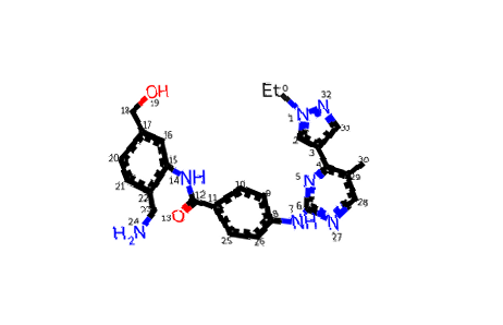 CCn1cc(-c2nc(Nc3ccc(C(=O)Nc4cc(CO)ccc4CN)cc3)ncc2C)cn1